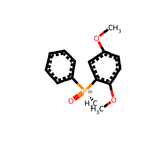 COc1ccc(OC)c([P@@](C)(=O)c2ccccc2)c1